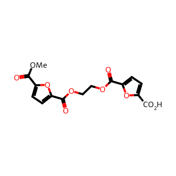 COC(=O)c1ccc(C(=O)OCCOC(=O)c2ccc(C(=O)O)o2)o1